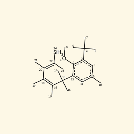 COc1c(C(C)(C)C)cc(C)cc1C(C)(C)C(C)=C(C)C(C)=C(C)[SiH3]